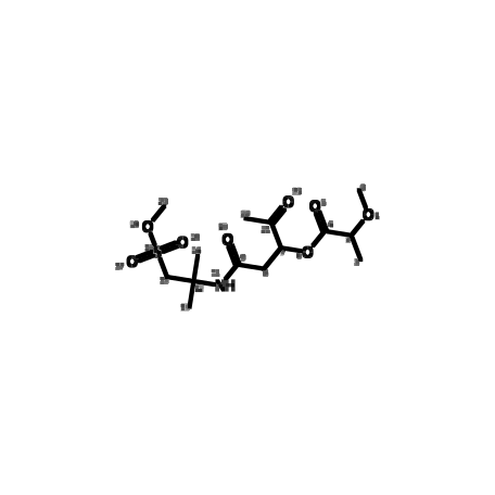 COC(C)C(=O)OC(CC(=O)NC(C)(C)CS(=O)(=O)OC)C(C)=O